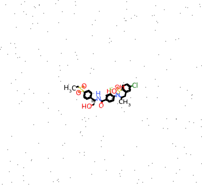 CCS(=O)(=O)c1ccc([C@H](CO)NC(=O)c2ccc(N3C(C)Cc4cc(Cl)ccc4S3(O)O)c(F)c2)cc1